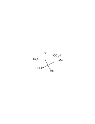 O=C(O)CC(O)(CC(=O)O)C(=O)O.[Mo].[V]